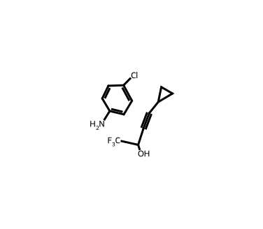 Nc1ccc(Cl)cc1.OC(C#CC1CC1)C(F)(F)F